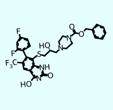 O=C(OCc1ccccc1)N1CCN(C[C@@H](O)CSc2c(-c3ccc(F)cc3F)c(C(F)(F)F)cc3c(O)nc(=O)[nH]c23)CC1